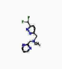 CN(Cc1ccc(C(F)F)nn1)Cc1ncccn1